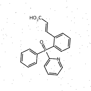 O=C(O)C=Cc1ccccc1P(=O)(c1ccccc1)c1ccccn1